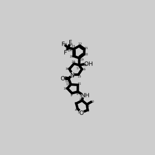 CC1COCCC1NC1CCC(C(=O)N2CCC(O)(c3cccc(C(F)(F)F)c3)CC2)C1